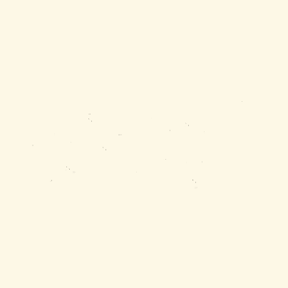 CCC(CC)C(=O)Nc1sc(-c2nc(-c3ccccn3)no2)c(C)c1C#N